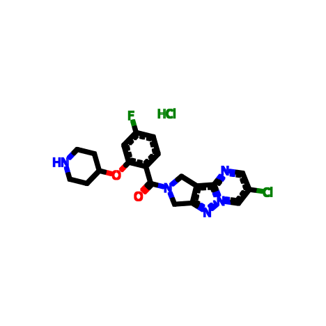 Cl.O=C(c1ccc(F)cc1OC1CCNCC1)N1Cc2nn3cc(Cl)cnc3c2C1